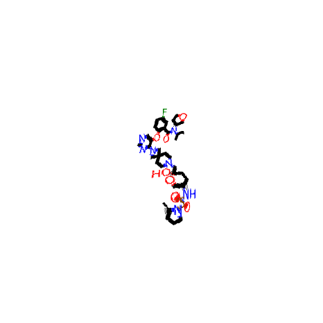 CC(C)N(C(=O)c1cc(F)ccc1Oc1cncnc1N1CC2(CCN(C[C@@]3(O)CC[C@@H](NS(=O)(=O)N4CCC[C@H]4C)CO3)CC2)C1)[C@@H]1CCOC1